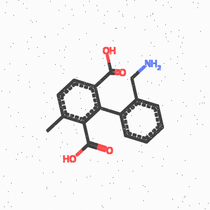 Cc1ccc(C(=O)O)c(-c2ccccc2CN)c1C(=O)O